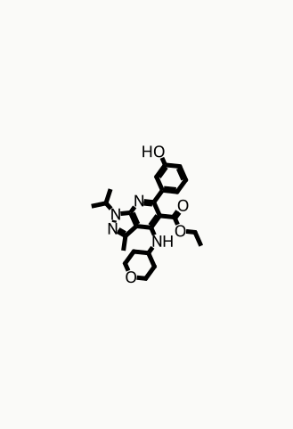 CCOC(=O)c1c(-c2cccc(O)c2)nc2c(c(C)nn2C(C)C)c1NC1CCOCC1